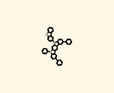 C1=c2c(n(-c3ccccc3)c3ccc(-c4ccccc4)cc23)=CC2C1c1cc(-c3ccccc3)ccc1N2c1ccc2oc3ccccc3c2c1